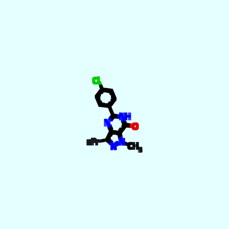 CCCc1nn(C)c2c(=O)[nH]c(-c3ccc(Cl)cc3)nc12